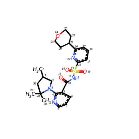 CC1CN(c2ncccc2C(=O)NS(=O)(=O)c2cccc(C3CCOCC3)n2)C(C)(C)C1